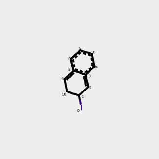 IC1C=c2ccccc2=CC1